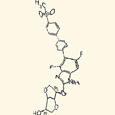 CS(=O)(=O)c1ccc(-c2ccc(-c3c(F)cc4[nH]c(O[C@@H]5COC6C5OC[C@H]6O)nc4c3F)cc2)cc1